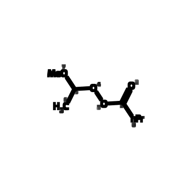 CCCC(=O)OOC(C)OC